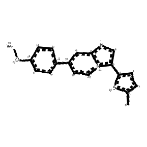 Cc1ccc(-c2cnc3cc(-c4ccc(OC(C)C)cc4)ccn23)s1